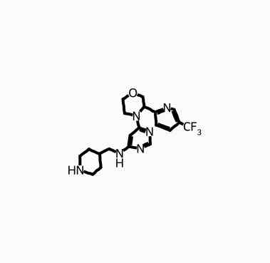 FC(F)(F)c1ccc(C2COCCN2c2cc(NCC3CCNCC3)ncn2)nc1